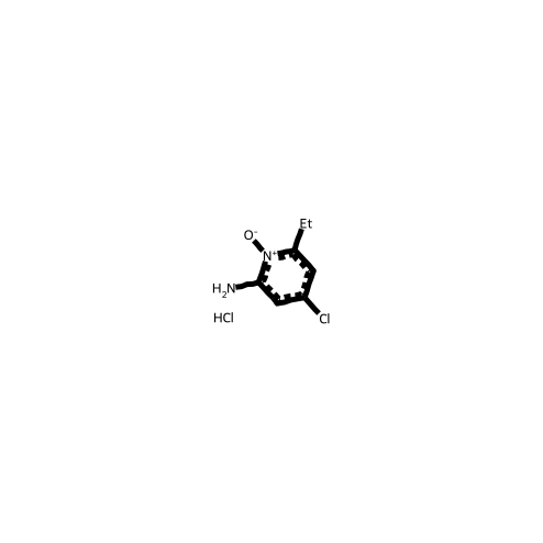 CCc1cc(Cl)cc(N)[n+]1[O-].Cl